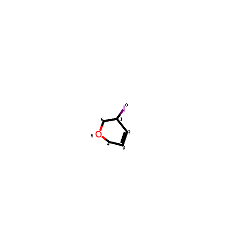 IC1C=CCOC1